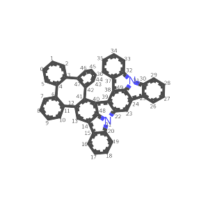 c1ccc2c(c1)-c1ccccc1-c1cc3c4ccccc4n4c5cc6c7ccccc7n7c8ccccc8c(c5c(c1-c1ccccc1-2)c34)c67